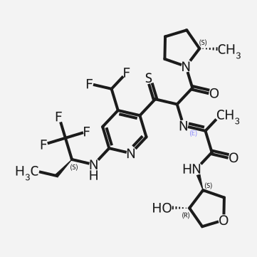 CC[C@H](Nc1cc(C(F)F)c(C(=S)C(/N=C(\C)C(=O)N[C@H]2COC[C@@H]2O)C(=O)N2CCC[C@@H]2C)cn1)C(F)(F)F